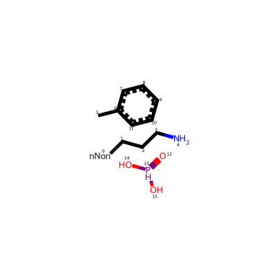 CCCCCCCCCCCCN.Cc1ccccc1.O=[PH](O)O